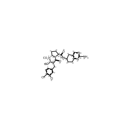 CC(C)(C)N(C(=O)O)[C@H](Cc1ccc(Cl)c(Cl)c1)C(=O)N1CCC[C@H]1C(=O)NC1CCc2nc(N)ncc2C1